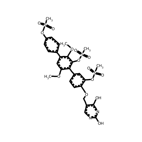 COc1cc(-c2ccc(OS(C)(=O)=O)cc2)c(OC)c(OS(C)(=O)=O)c1-c1ccc(OCc2cnc(O)nc2O)c(OS(C)(=O)=O)c1